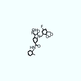 Cc1ccccc1CNC(=O)c1ccc2c(c1)N(Cc1cc(F)cc3c1OCOC3)C(=O)/C2=N\O